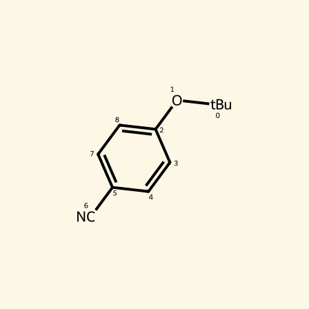 CC(C)(C)Oc1ccc(C#N)cc1